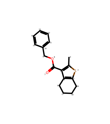 Cc1sc2c(c1C(=O)OCc1ccccc1)CCCC2